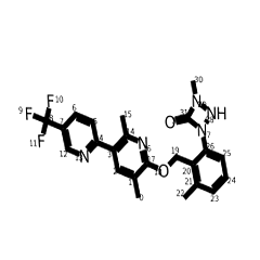 Cc1cc(-c2ccc(C(F)(F)F)cn2)c(C)nc1OCc1c(C)cccc1-n1[nH]n(C)c1=O